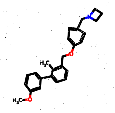 COc1cccc(-c2cccc(COc3ccc(CN4CCC4)cc3)c2C)c1